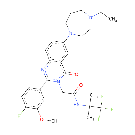 CCN1CCCN(c2ccc3nc(-c4ccc(F)c(OC)c4)n(CC(=O)NC(C)(C)C(F)(F)F)c(=O)c3c2)CC1